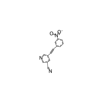 N#Cc1cncc(C#Cc2cccc([N+](=O)[O-])c2)c1